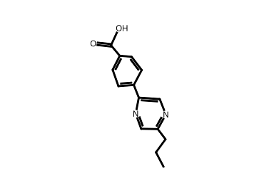 CCCc1cnc(-c2ccc(C(=O)O)cc2)cn1